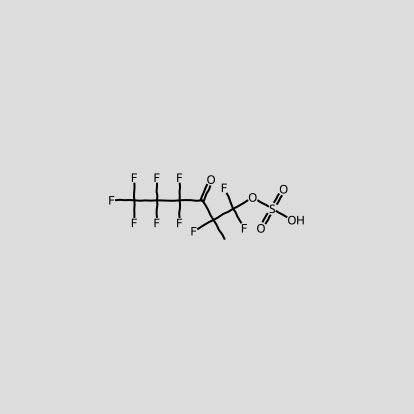 CC(F)(C(=O)C(F)(F)C(F)(F)C(F)(F)F)C(F)(F)OS(=O)(=O)O